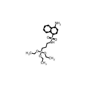 CCO[Si](CCCNS(=O)(=O)c1ccc(N)c2ccccc12)(OCC)OCC